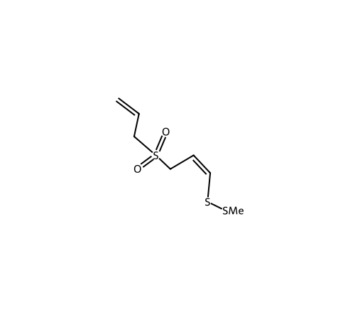 C=CCS(=O)(=O)C/C=C\SSC